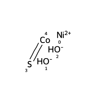 [Ni+2].[OH-].[OH-].[S]=[Co]